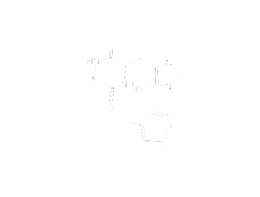 C=c1[nH]c(=O)c(=Cc2ncn(Cc3cc(C)cc(C)c3)c2C(C)C)[nH]c1=O